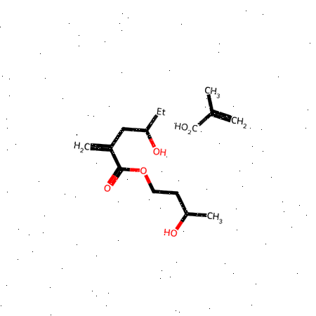 C=C(C)C(=O)O.C=C(CC(O)CC)C(=O)OCCC(C)O